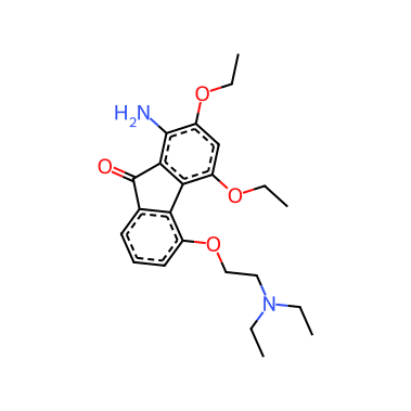 CCOc1cc(OCC)c2c(c1N)C(=O)c1cccc(OCCN(CC)CC)c1-2